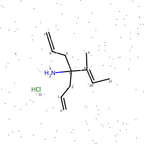 C=CCC(N)(CC=C)C(C)=CC.Cl